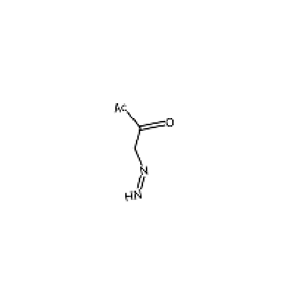 CC(=O)C(=O)CN=N